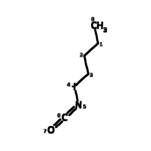 CCCC[I]N=C=O